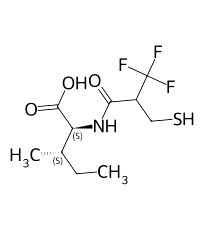 CC[C@H](C)[C@H](NC(=O)C(CS)C(F)(F)F)C(=O)O